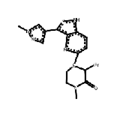 CC(C)C1C(=O)N(C)CCN1c1ccc2[nH]nc(-c3cnn(C)c3)c2n1